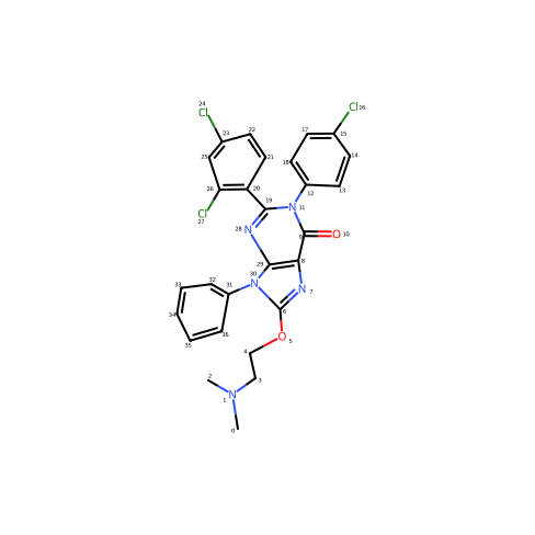 CN(C)CCOc1nc2c(=O)n(-c3ccc(Cl)cc3)c(-c3ccc(Cl)cc3Cl)nc2n1-c1ccccc1